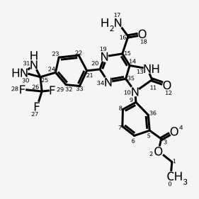 CCOC(=O)c1cccc(-n2c(=O)[nH]c3c(C(N)=O)nc(-c4ccc(C5(C(F)(F)F)NN5)cc4)nc32)c1